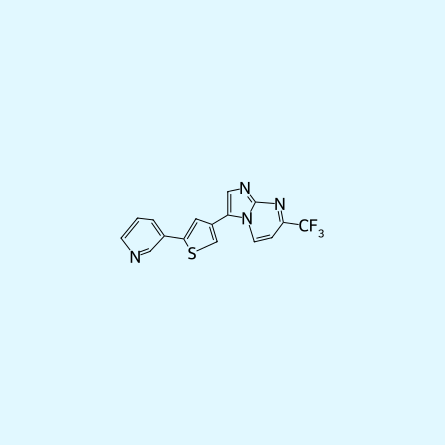 FC(F)(F)c1ccn2c(-c3csc(-c4cccnc4)c3)cnc2n1